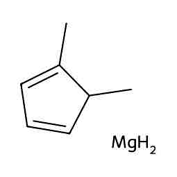 CC1=CC=CC1C.[MgH2]